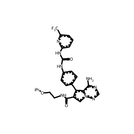 CC(C)OCCNC(=O)c1cn2ncnc(N)c2c1-c1ccc(NC(=O)Nc2cccc(C(F)(F)F)n2)cc1